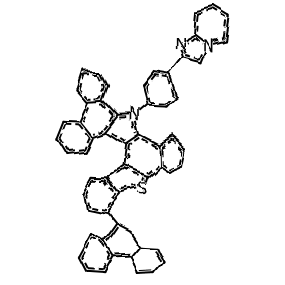 C1=CC2=c3ccccc3=C(c3cccc4c3sc3c5ccccc5c5c(c43)c3c4ccccc4c4ccccc4c3n5-c3ccc(-c4cn5ccccc5n4)cc3)CC2C=C1